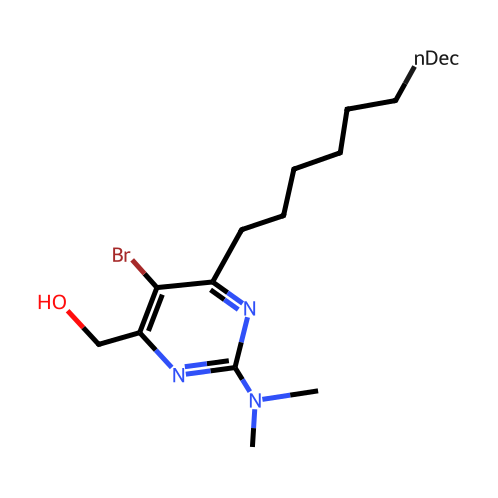 CCCCCCCCCCCCCCCCc1nc(N(C)C)nc(CO)c1Br